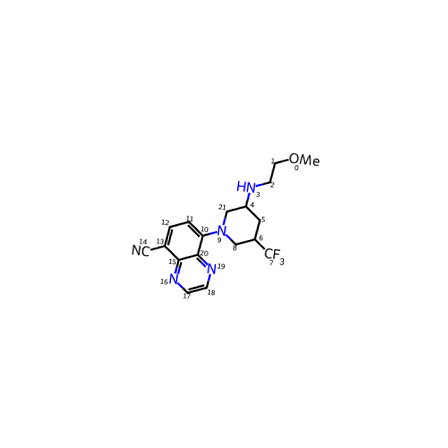 COCCNC1CC(C(F)(F)F)CN(c2ccc(C#N)c3nccnc23)C1